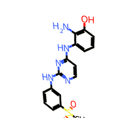 CS(=O)(=O)c1cccc(Nc2nccc(Nc3cccc(O)c3N)n2)c1